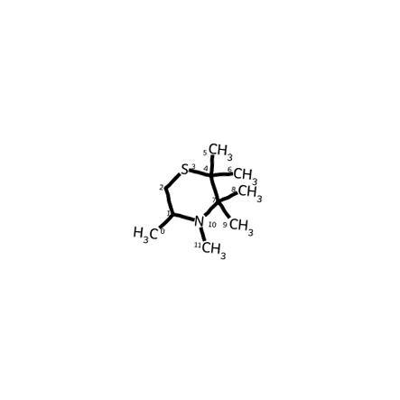 CC1CSC(C)(C)C(C)(C)N1C